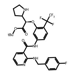 CC(C)(C)OC(=O)[C@H](Oc1cc(NC(=O)c2cccnc2NCc2ccc(F)cc2)ccc1C(F)(F)C(F)(F)F)C1CCCN1